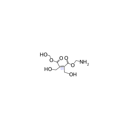 NCOC(=O)/C(CO)=C(/CO)C(=O)OCO